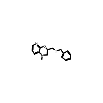 CN1CC(COCc2ccccc2)Oc2ncccc21